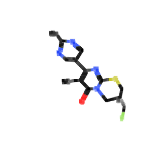 CC(C)(C)c1ncc(-c2nc3n(c(=O)c2C#N)C[C@@H](CF)CS3)cn1